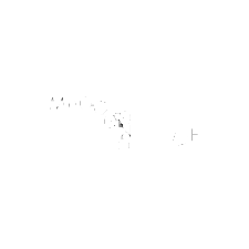 COc1ccc(CS(=O)(=O)C2CC(=O)N2CCCCCCc2ccc(F)cc2)cc1